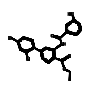 CCOC(=O)c1ccc(-c2ccc(Cl)cc2Cl)cc1NC(=O)c1cccc(O)c1